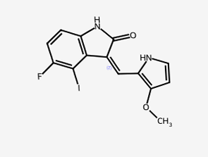 COc1cc[nH]c1/C=C1\C(=O)Nc2ccc(F)c(I)c21